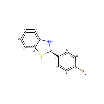 Brc1ccc([C@@H]2Nc3c#cccc3S2)cc1